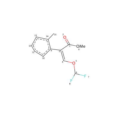 COC(=O)C(=COC(F)F)c1ccccc1C